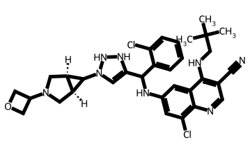 CC(C)(C)CNc1c(C#N)cnc2c(Cl)cc(NC(C3=CN(C4[C@H]5CN(C6COC6)C[C@@H]45)NN3)c3ccccc3Cl)cc12